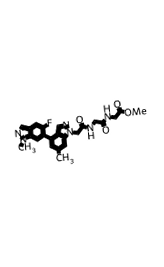 COC(=O)CNC(=O)CNC(=O)Cn1ncc2c(-c3cc4c(cnn4C)cc3F)cc(C)cc21